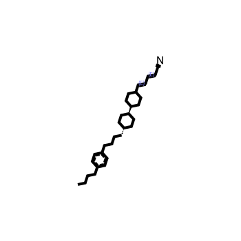 CCCCc1ccc(CCCC[C@H]2CC[C@H](C3CCC(/C=C/C=C/C#N)CC3)CC2)cc1